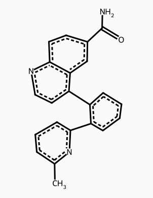 Cc1cccc(-c2ccccc2-c2ccnc3ccc(C(N)=O)cc23)n1